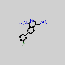 NCc1cnc(N)c2cc(-c3cccc(F)c3)ccc12